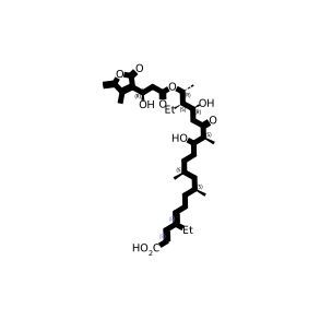 C=C1OC(=O)C([C@H](O)CC(=O)O[C@H](C)[C@@H](CC)[C@H](O)CC(=O)[C@@H](C)C(O)CC[C@H](C)C[C@@H](C)CC/C=C(/C=C/C(=O)O)CC)=C1C